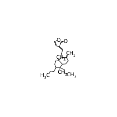 C=C1CCC2C(C)(CCC)C(CCC)CCC2(C)C1C/C=C1\C=COC1=O